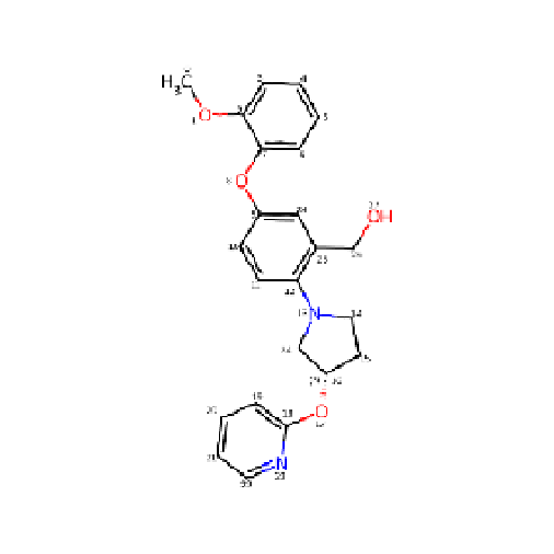 COc1ccccc1Oc1ccc(N2CC[C@H](Oc3ccccn3)C2)c(CO)c1